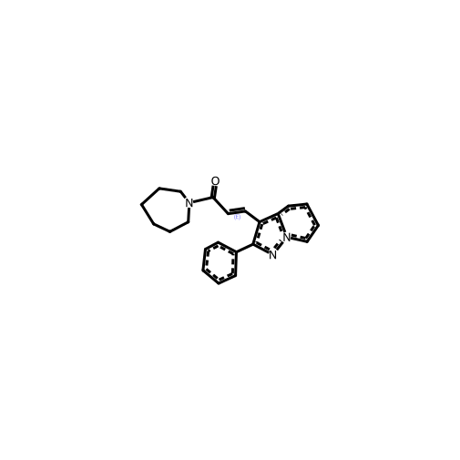 O=C(/C=C/c1c(-c2ccccc2)nn2ccccc12)N1CCCCCC1